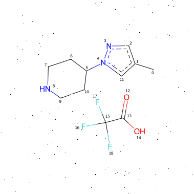 Cc1cnn(C2CCNCC2)c1.O=C(O)C(F)(F)F